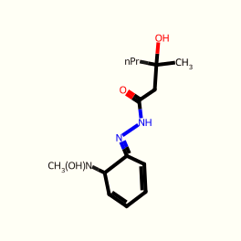 CCCC(C)(O)CC(=O)NN=C1C=CC=CC1N(C)O